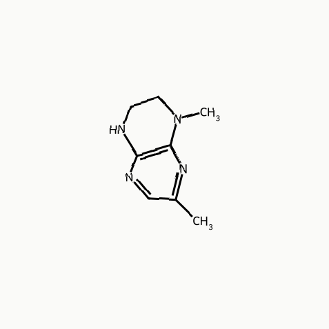 Cc1cnc2c(n1)N(C)CCN2